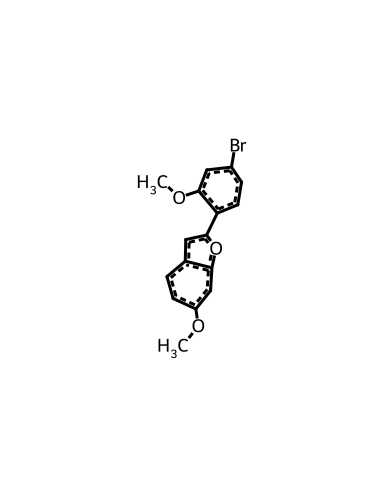 COc1ccc2cc(-c3ccc(Br)cc3OC)oc2c1